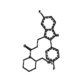 NCC1CCCCN1C(=O)CCc1c(-c2ccc(F)cc2)[nH]c2ccc(F)cc12